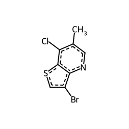 Cc1cnc2c(Br)csc2c1Cl